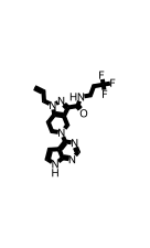 C=CCn1nc(C(=O)NCCC(F)(F)F)c2c1CCN(c1ncnc3[nH]ccc13)C2